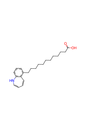 O=C(O)CCCCCCCCCCCc1cccc2c1C=CC=CN2